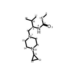 CSC(=O)N[C@@H](CN1CCN(C2CC2)CC1)C(C)C